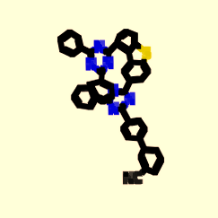 N#Cc1cccc(-c2ccc(-c3nc(-c4ccccc4)nc(-c4ccc5sc6cccc(-c7nc(-c8ccccc8)nc(-c8ccccc8)n7)c6c5c4)n3)cc2)c1